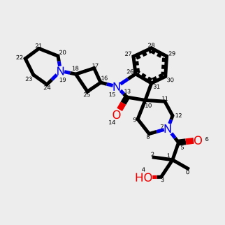 CC(C)(CO)C(=O)N1CCC2(CC1)C(=O)N(C1CC(N3CCCCC3)C1)c1ccccc12